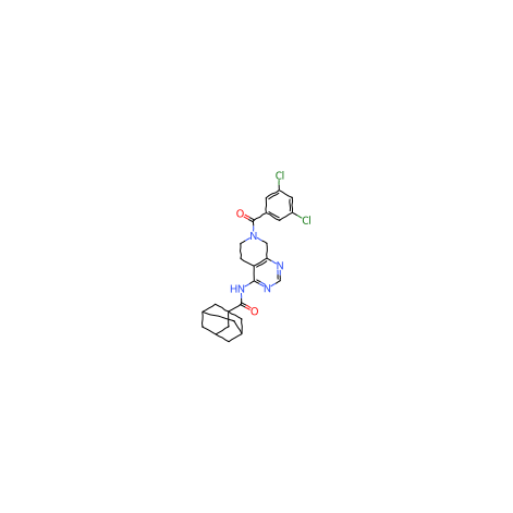 O=C(c1cc(Cl)cc(Cl)c1)N1CCc2c(ncnc2NC(=O)C23CC4CC(CC(C4)C2)C3)C1